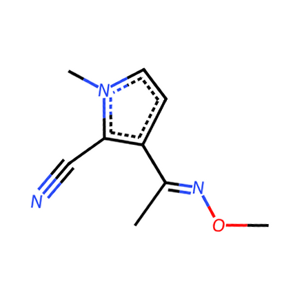 CON=C(C)c1ccn(C)c1C#N